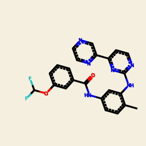 Cc1ccc(NC(=O)c2cccc(OC(F)F)c2)cc1Nc1nccc(-c2cnccn2)n1